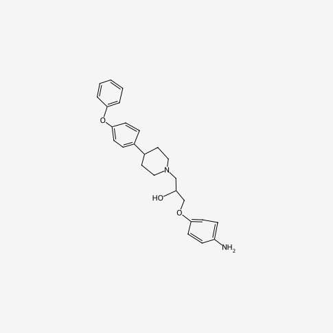 Nc1ccc(OCC(O)CN2CCC(c3ccc(Oc4ccccc4)cc3)CC2)cc1